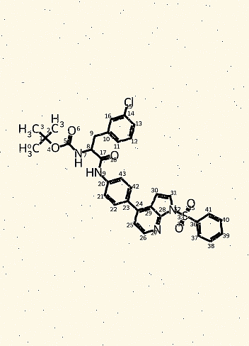 CC(C)(C)OC(=O)NC(Cc1cccc(Cl)c1)C(=O)Nc1ccc(-c2ccnc3c2ccn3S(=O)(=O)c2ccccc2)cc1